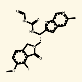 COc1ccc2c(c1F)C(=O)N(C[C@H](NC(=O)NC=O)c1cc3cc(C)ncc3o1)C2